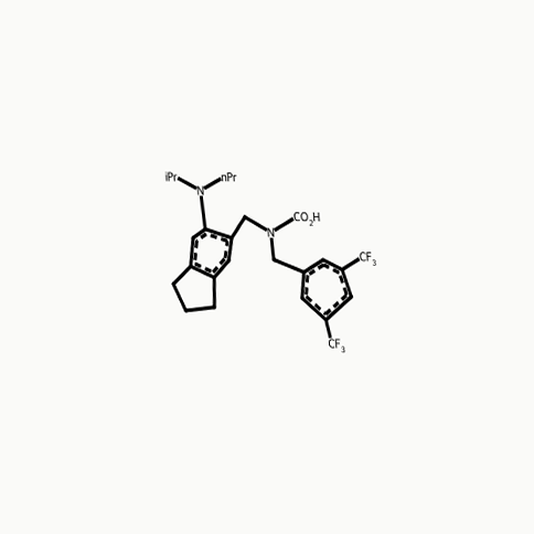 CCCN(c1cc2c(cc1CN(Cc1cc(C(F)(F)F)cc(C(F)(F)F)c1)C(=O)O)CCC2)C(C)C